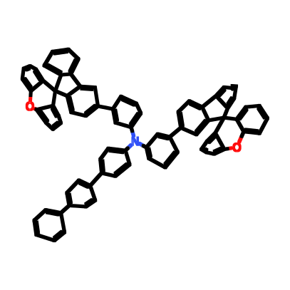 c1ccc(-c2ccc(-c3ccc(N(c4cccc(-c5ccc6c(c5)-c5ccccc5C65c6ccccc6Oc6ccccc65)c4)c4cccc(-c5ccc6c(c5)C5(c7ccccc7Oc7ccccc75)c5ccccc5-6)c4)cc3)cc2)cc1